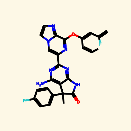 C=C(F)/C=C(\C=C/C)Oc1nc(-c2nc(N)c3c(n2)NC(=O)C3(C)c2ccc(F)cc2)cn2ccnc12